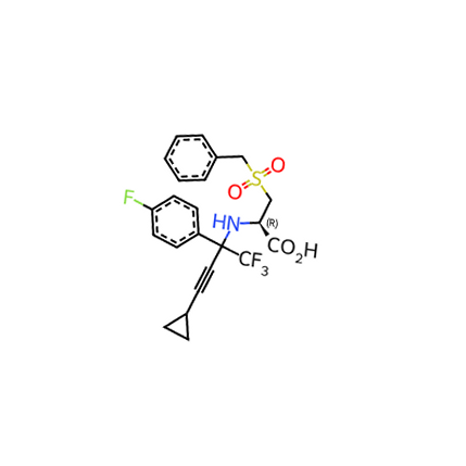 O=C(O)[C@H](CS(=O)(=O)Cc1ccccc1)NC(C#CC1CC1)(c1ccc(F)cc1)C(F)(F)F